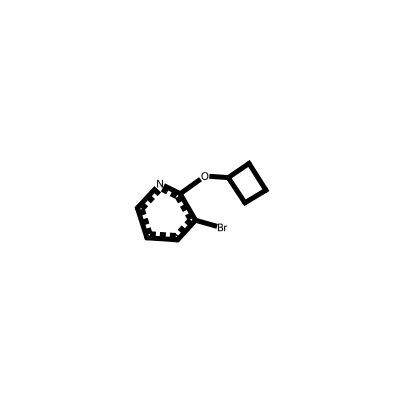 Brc1cccnc1OC1CCC1